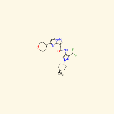 C[C@H]1CC[C@H](n2cc(NC(=O)c3cnn4ccc(C5CCCOCC5)nc34)c(C(F)F)n2)CC1